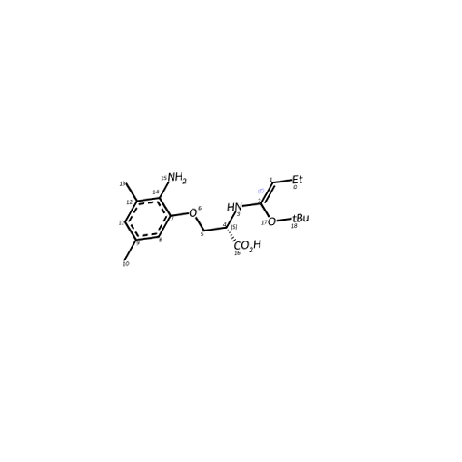 CC/C=C(/N[C@@H](COc1cc(C)cc(C)c1N)C(=O)O)OC(C)(C)C